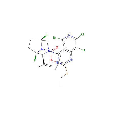 C=C(C)[C@@H]1N(c2nc(SCC)nc3c(F)c(Cl)nc(Br)c23)C[C@@]2(F)CC[C@]1(F)N2C(=O)OC(C)(C)C